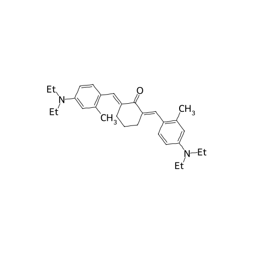 CCN(CC)c1ccc(C=C2CCCC(=Cc3ccc(N(CC)CC)cc3C)C2=O)c(C)c1